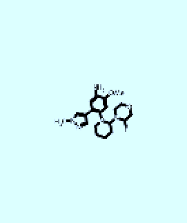 COc1cc(N2CCCCC2N2CCOCC2F)c(-c2cnn(C)c2)cc1N